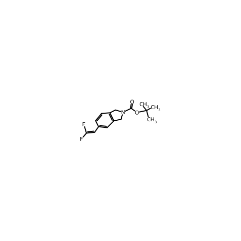 CC(C)(C)OC(=O)N1Cc2ccc(C=C(F)F)cc2C1